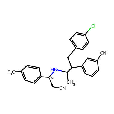 CC(N[C@@H](CC#N)c1ccc(C(F)(F)F)cc1)C(Cc1ccc(Cl)cc1)c1cccc(C#N)c1